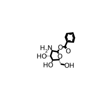 N[C@H]1C(OC(=O)c2ccccc2)O[C@H](CO)[C@@H](O)[C@@H]1O